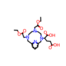 CCOC(=O)CN1CCN(CC(=O)OCC)Cc2cccc(n2)CN(C(CCC(=O)O)C(=O)O)CC1